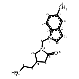 CCCC1CC(=O)N(Cn2ccc3cc(C)ccc32)C1